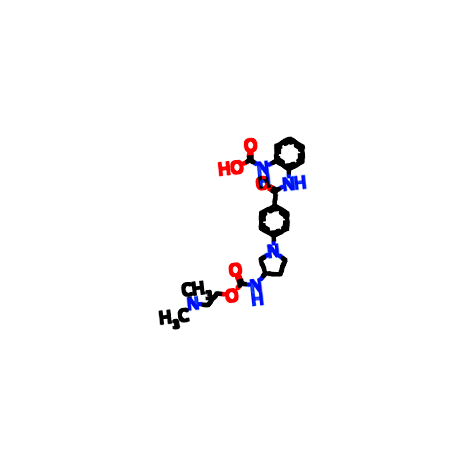 CN(C)CCOC(=O)NC1CCN(c2ccc(C(=O)Nc3ccccc3NC(=O)O)cc2)C1